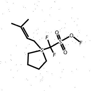 CC(C)=CCS1(C(F)(F)S(=O)(=O)OF)CCCC1